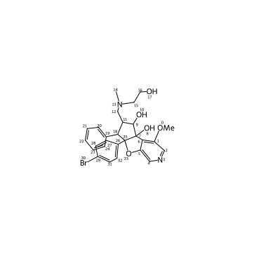 COc1cncc2c1C1(O)C(O)C(CN(C)CCO)C(c3ccccc3)C1(c1ccc(Br)cc1)O2